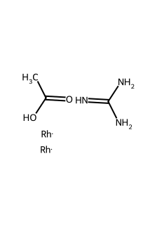 CC(=O)O.N=C(N)N.[Rh].[Rh]